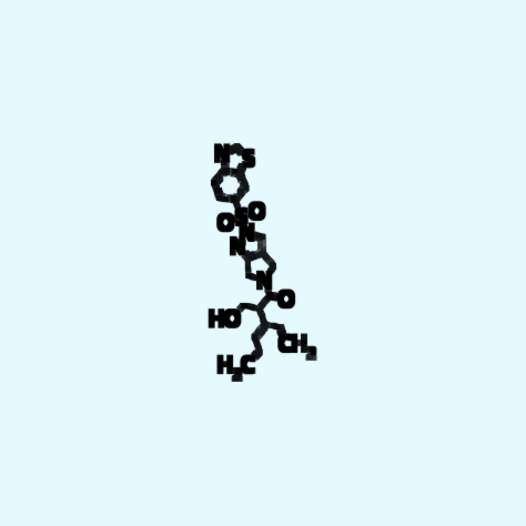 C=C/C=C(\C=C)C(CO)C(=O)N1Cc2cn(S(=O)(=O)c3ccc4ncsc4c3)nc2C1